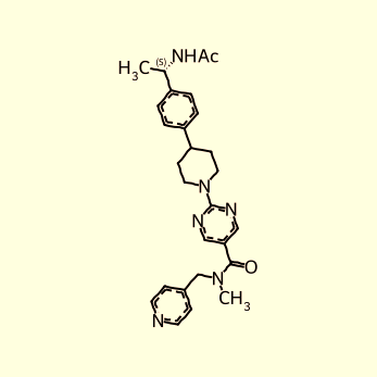 CC(=O)N[C@@H](C)c1ccc(C2CCN(c3ncc(C(=O)N(C)Cc4ccncc4)cn3)CC2)cc1